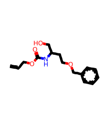 C=CCOC(=O)NC(CO)CCOCc1ccccc1